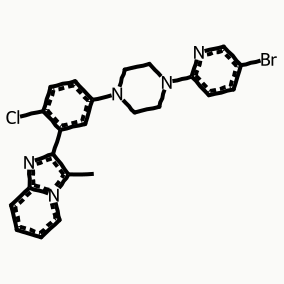 Cc1c(-c2cc(N3CCN(c4ccc(Br)cn4)CC3)ccc2Cl)nc2ccccn12